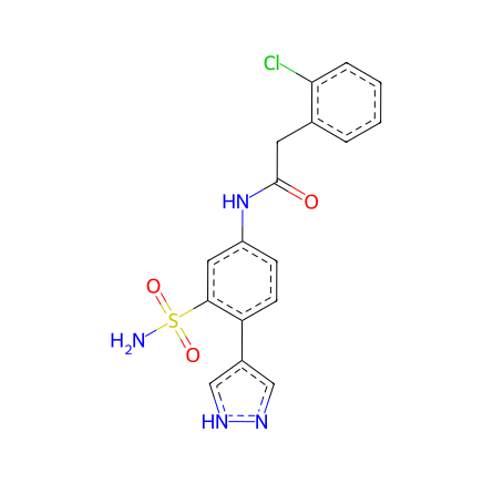 NS(=O)(=O)c1cc(NC(=O)Cc2ccccc2Cl)ccc1-c1cn[nH]c1